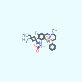 C[C@H]1CC[C@H](c2ccccc2)S(=O)(=O)N1Cc1cc(F)c([C@]2(c3n[nH]c(=O)o3)C[C@@](C)(CC#N)C2)cc1F